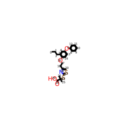 CCCc1cc(Oc2ccccc2)ccc1OCCc1csc(SC(C)(C)C(=O)O)n1